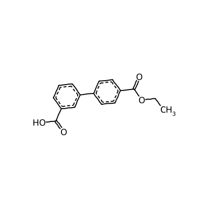 CCOC(=O)c1ccc(-c2cccc(C(=O)O)c2)cc1